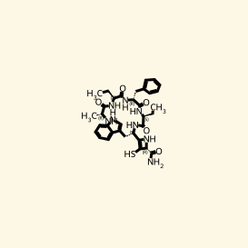 CC[C@H](NC(=O)[C@@H](C)N)C(=O)N[C@H](Cc1ccccc1)C(=O)N[C@@H](CC)C(=O)N[C@@H](Cc1c[nH]c2ccccc12)C1=C(S)[C@@H](C(N)=O)N1